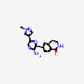 Cn1cc(-c2cnc(N)c(-c3ccc4c(c3)CCNC4=O)n2)cn1